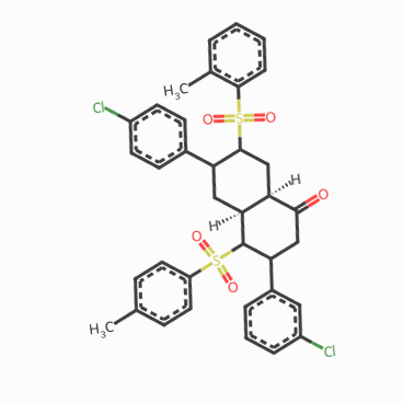 Cc1ccc(S(=O)(=O)C2C(c3cccc(Cl)c3)CC(=O)[C@@H]3CC(S(=O)(=O)c4ccccc4C)C(c4ccc(Cl)cc4)C[C@H]23)cc1